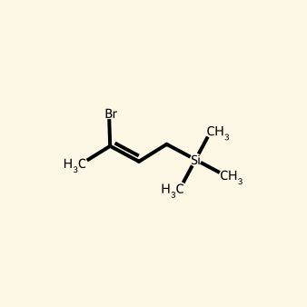 CC(Br)=CC[Si](C)(C)C